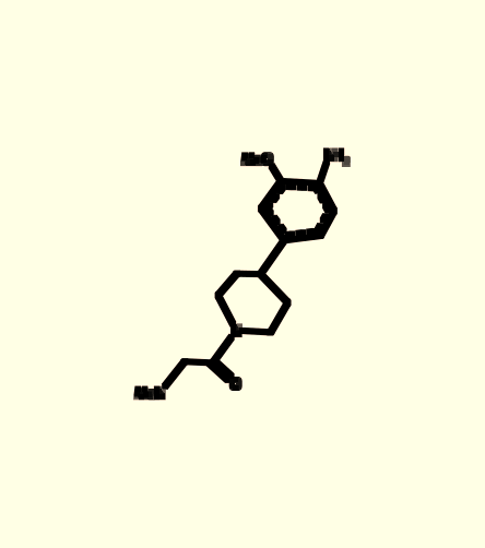 CNCC(=O)N1CCC(c2ccc(N)c(OC)c2)CC1